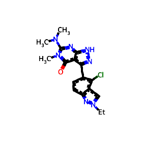 CCn1cc2c(Cl)c(-c3n[nH]c4nc(N(C)C)n(C)c(=O)c34)ccc2n1